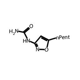 CCCCCc1cc(NC(N)=O)no1